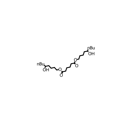 CCCCC(O)CCCCOC(=O)CCCCC(=O)OCCCCC(O)CCCC